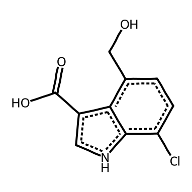 O=C(O)c1c[nH]c2c(Cl)ccc(CO)c12